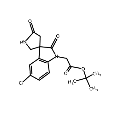 CC(C)(C)OC(=O)CN1C(=O)C2(CNC(=O)C2)c2cc(Cl)ccc21